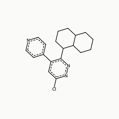 Clc1cc(-c2ccncc2)c(C2CCCC3CCCCC32)nn1